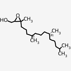 CC(C)CCC[C@@H](C)CCC[C@@H](C)CCCC1(C)OC1CO